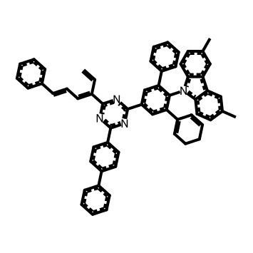 C=C/C(=C\C=C\c1ccccc1)c1nc(-c2ccc(-c3ccccc3)cc2)nc(-c2cc(C3=CCCC=C3)c(-n3c4ccc(C)cc4c4cc(C)ccc43)c(-c3ccccc3)c2)n1